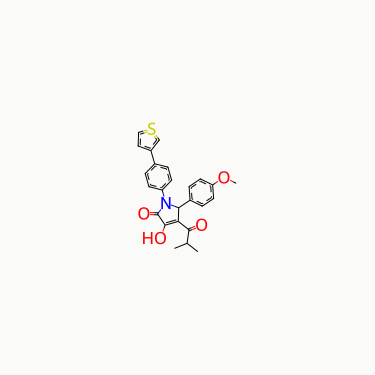 COc1ccc(C2C(C(=O)C(C)C)=C(O)C(=O)N2c2ccc(-c3ccsc3)cc2)cc1